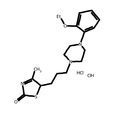 CCOc1ccccc1N1CCN(CCCC2SC(=O)N=C2C)CC1.Cl.Cl